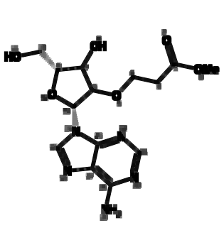 COC(=O)CCOC1C(O)[C@@H](CO)O[C@H]1n1cnc2c(N)ncnc21